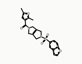 Cc1cc(C(=O)N2CC3=C(C2)CN(S(=O)(=O)c2ccc4occc4c2)C3)c(C)o1